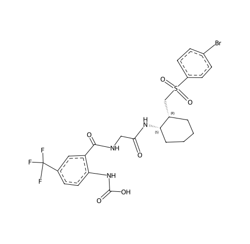 O=C(O)Nc1ccc(C(F)(F)F)cc1C(=O)NCC(=O)N[C@H]1CCCC[C@H]1CS(=O)(=O)c1ccc(Br)cc1